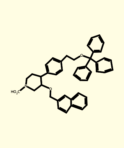 O=C(O)N1CCC(c2ccc(CCOC(c3ccccc3)(c3ccccc3)c3ccccc3)cc2)C(OCc2ccc3ccccc3c2)C1